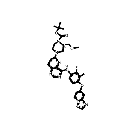 COC[C@H]1CN(c2ccc3ncnc(Nc4ccc(Oc5ccn6ncnc6c5)c(C)c4F)c3n2)CCN1C(=O)OC(C)(C)C